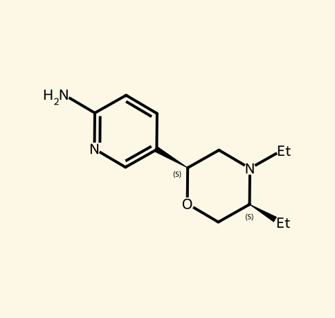 CC[C@H]1CO[C@@H](c2ccc(N)nc2)CN1CC